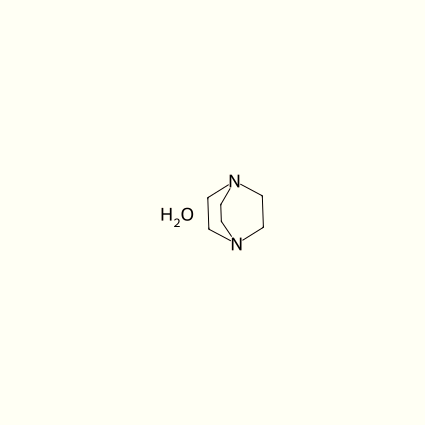 C1CN2CCN1CC2.O